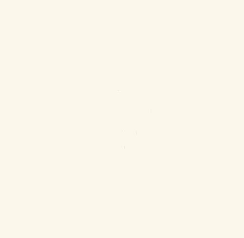 CCOC(=O)C(CC)(C(C)C)C(CC(C)C)C(=O)O